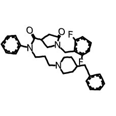 O=C1CC(C(=O)N(CCCN2CCC(Cc3ccccc3)CC2)c2ccccc2)CN1Cc1c(F)cccc1F